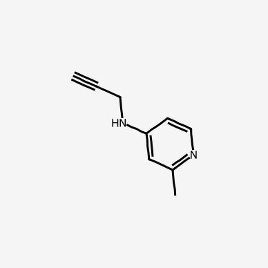 C#CCNc1ccnc(C)c1